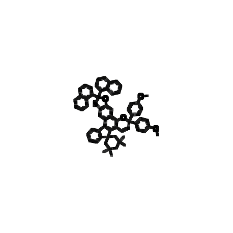 COc1ccc(C2(c3ccc(OC)cc3)C=Cc3c4c(c5cc6c(cc5c3O2)OC(c2cccc3ccccc23)(c2cccc3ccccc23)S6)-c2ccccc2C42CC(C)(C)CC(C)(C)C2)cc1